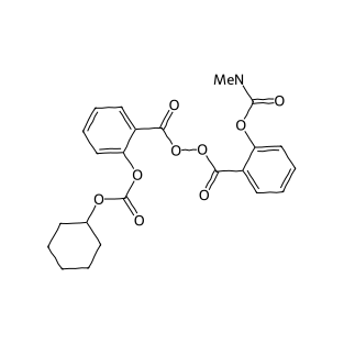 CNC(=O)Oc1ccccc1C(=O)OOC(=O)c1ccccc1OC(=O)OC1CCCCC1